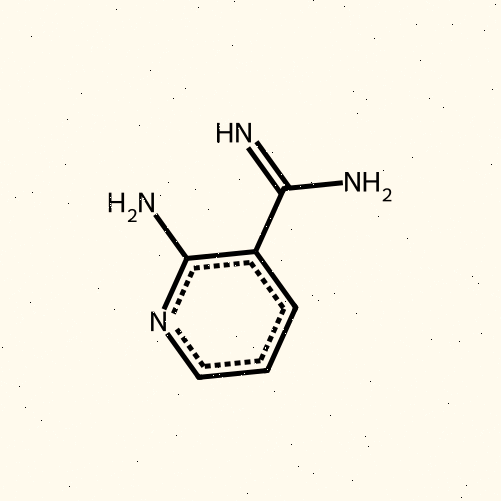 N=C(N)c1cccnc1N